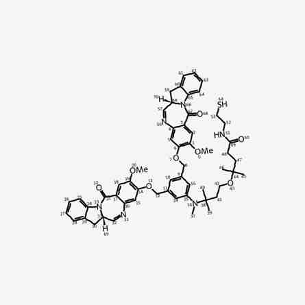 COc1cc2c(cc1OCc1cc(COc3cc4c(cc3OC)C(=O)N3c5ccccc5C[C@H]3C=N4)cc(N(C)C(C)(C)CCOC(C)(C)CCC(=O)NCCS)c1)N=C[C@@H]1Cc3ccccc3N1C2=O